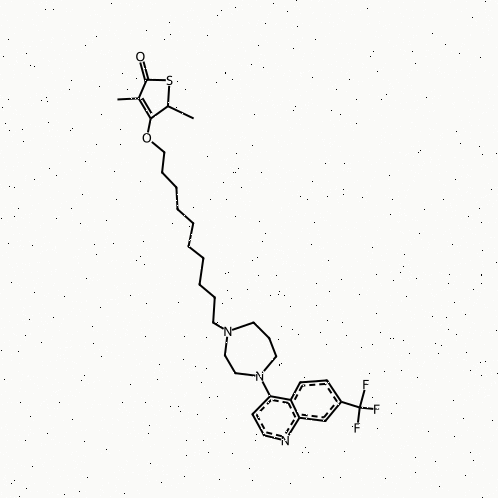 CC1=C(OCCCCCCCCCCN2CCCN(c3ccnc4cc(C(F)(F)F)ccc34)CC2)C(C)SC1=O